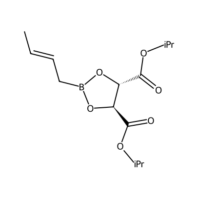 C/C=C/CB1O[C@H](C(=O)OC(C)C)[C@@H](C(=O)OC(C)C)O1